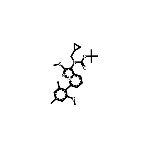 COc1cc(C)cc(C)c1-c1cccc2c(N(CC3CC3)C(=O)OC(C)(C)C)c(SC)nn12